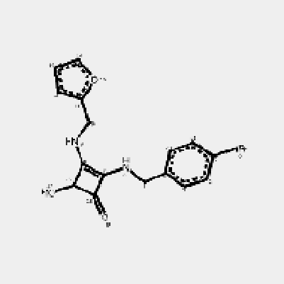 CC(C)c1ccc(CNC2=C(NCc3ccco3)C(O)C2=O)cc1